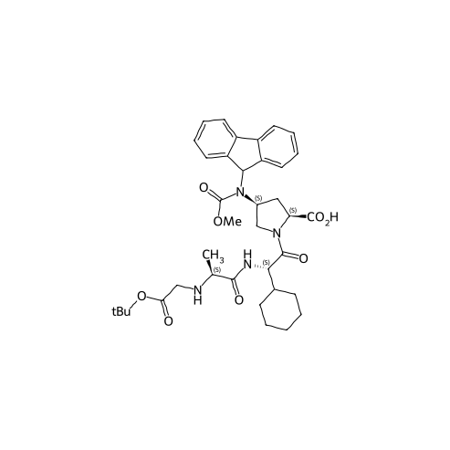 COC(=O)N(C1c2ccccc2-c2ccccc21)[C@H]1C[C@@H](C(=O)O)N(C(=O)[C@@H](NC(=O)[C@H](C)NCC(=O)OC(C)(C)C)C2CCCCC2)C1